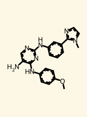 COc1ccc(Nc2nc(Nc3cccc(-c4nccn4C)c3)ncc2N)cc1